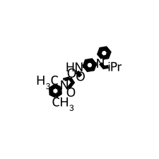 Cc1ccc(C)c(N2CC(OC(=O)Nc3ccc(N(CC(C)C)c4ccccc4)cc3)CC2=O)c1